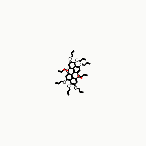 C=CCOC1=C[C@@H](OCC=C)C(OCC=C)c2c(OCC=C)cc(OC)c(-c3c(OC)cc(OCC=C)c4c(OCC=C)c(OCC=C)cc(OCC=C)c34)c21